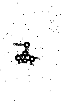 Brc1cccnc1.Cc1cc(C)c(C2CNC(=C3NC=CC=C3Br)N2c2c(C)cc(C)cc2C)c(C)c1.[Cl][Ru][Cl]